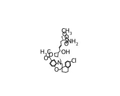 COC[C@H](C/C=C/[C@H](O)[C@@H]1CC[C@H]1CN1CC2(CCCc3cc(Cl)ccc32)COc2ccc(C(=O)OC)cc21)S(N)(=O)=O